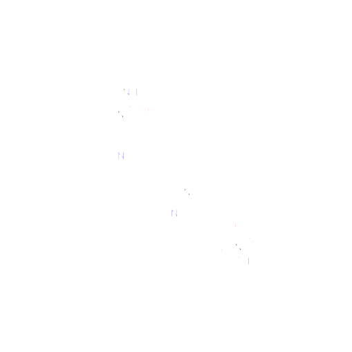 CN(C)S(=O)(=O)c1ccc2c(c1)=CN(c1ccccc1)C(c1ccc(CN3CCC(n4c(=O)[nH]c5ccccc54)CC3)cc1)N=2